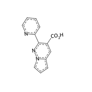 O=C(O)c1cc2cccn2nc1-c1ccccn1